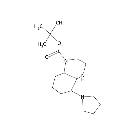 CC(C)(C)OC(=O)N1CCNC2C(N3CCCC3)CCCC21